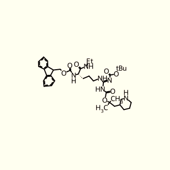 CCNC(=O)[C@H](CCCN/C(=N\C(=O)OC(C)(C)C)NC(=O)OC(C)(C)CC1CCCNC1)NC(=O)OCC1c2ccccc2-c2ccccc21